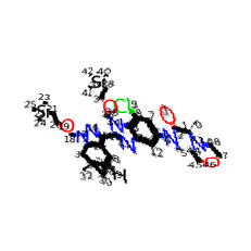 C[C@@H](C(=O)N(C)c1cc(Cl)c2c(c1)nc(-c1nn(COCC[Si](C)(C)C)c3c1C[C@@H]1C[C@]1(C)C3)n2COCC[Si](C)(C)C)N1CCOCC1